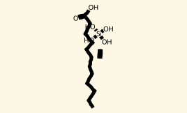 C=C.CCCCCCCCCCCC(=O)O.O[Si](O)(O)O